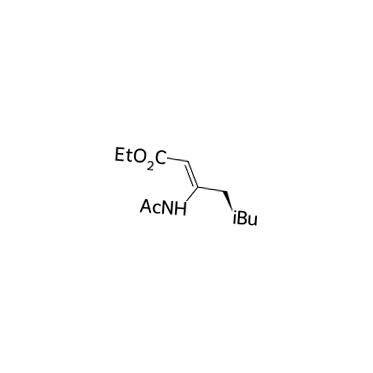 CCOC(=O)/C=C(/C[C@H](C)CC)NC(C)=O